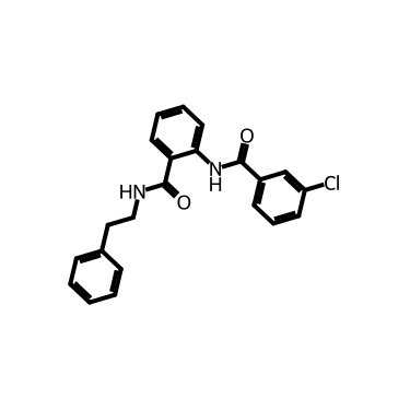 O=C(Nc1ccccc1C(=O)NCCc1ccccc1)c1cccc(Cl)c1